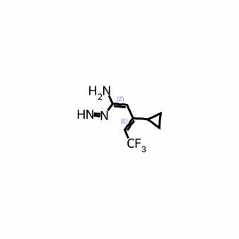 N=N/C(N)=C\C(=C\C(F)(F)F)C1CC1